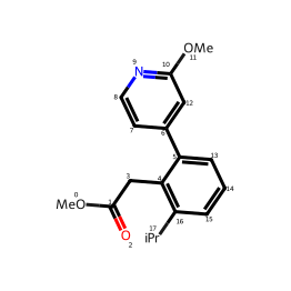 COC(=O)Cc1c(-c2ccnc(OC)c2)cccc1C(C)C